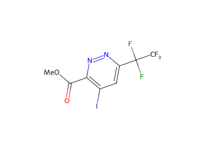 COC(=O)c1nnc(C(F)(F)C(F)(F)F)cc1I